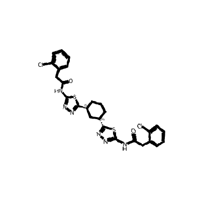 O=C(Cc1ccccc1Cl)Nc1nnc([C@H]2CCC[C@H](c3nnc(NC(=O)Cc4ccccc4Cl)s3)C2)s1